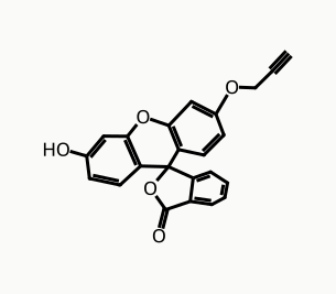 C#CCOc1ccc2c(c1)Oc1cc(O)ccc1C21OC(=O)c2ccccc21